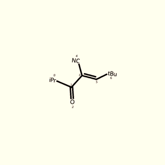 CC(C)C(=O)/C(C#N)=C/C(C)(C)C